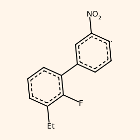 CCc1cccc(-c2cc[c]c([N+](=O)[O-])c2)c1F